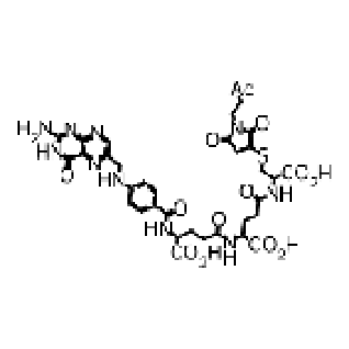 CC(=O)CCN1C(=O)CC(SCC(NC(=O)CCC(NC(=O)CCC(NC(=O)c2ccc(NCc3cnc4nc(N)[nH]c(=O)c4n3)cc2)C(=O)O)C(=O)O)C(=O)O)C1=O